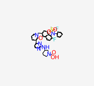 Cc1ccc2c(N(c3ccccc3F)S(C)(=O)=O)c(F)ccc2c1Oc1ncccc1-c1ccnc(NC2CCCN(C(=O)O)C2)n1